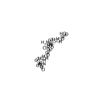 CNCCn1c([C@@]23CC[C@]4(C)[C@H](CC[C@@H]5[C@@]6(C)CC[C@H](OC(=O)CC(C)(C)C(=O)Oc7cc(-n8c(=O)c(C)c([C@@]9%10CC[C@]%11(C)[C@H](CC[C@@H]%12[C@@]%13(C)CC[C@H](OC(=O)CC(C)(C)C(=O)O)C(C)(C)[C@@H]%13CC[C@]%12%11C)C9=C(C(C)C)C(=O)C%10)n8CCN)ncc7Cl)C(C)(C)[C@@H]6CC[C@]54C)C2=C(C(C)C)C(=O)C3)c(C)c(=O)n1-c1ccc(Cl)cn1